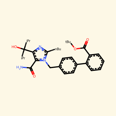 CCCCc1nc(C(O)(C(C)C)C(C)C)c(C(N)=O)n1Cc1ccc(-c2ccccc2C(=O)OC(C)(C)C)cc1